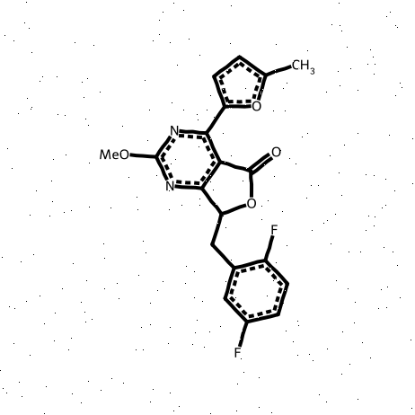 COc1nc(-c2ccc(C)o2)c2c(n1)C(Cc1cc(F)ccc1F)OC2=O